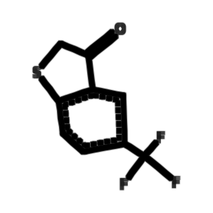 O=C1CSc2ccc(C(F)(F)F)cc21